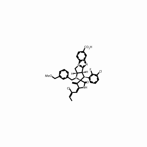 C=C1/C(=C\C(Cl)=C/C)NC(=O)[C@@]12[C@H](c1cccc(Cl)c1F)[C@H]1c3nc4cc(C(=O)O)ccc4n3C[C@H]1N2Cc1cccc(COC)c1